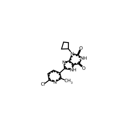 Cc1nc(Cl)ccc1-c1nc2c([nH]1)c(=O)[nH]c(=O)n2C1CCC1